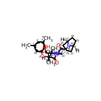 Cc1cc(C)cc(OC(C)(C)C(=O)NC[C@@H]2C[C@H]3CC[C@@H](C2)N3CC(=O)NC(C)(C)CO)c1